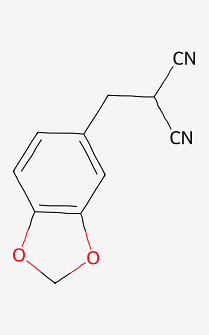 N#CC(C#N)Cc1ccc2c(c1)OCO2